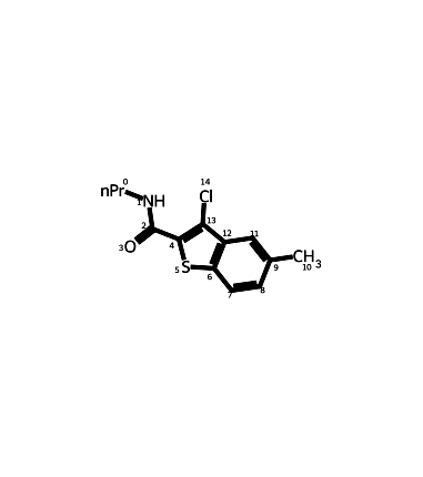 CCCNC(=O)c1sc2ccc(C)cc2c1Cl